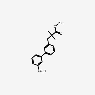 CC(C)(C)OC(=O)C(C)(C)Cc1cccc(-c2cccc(C(=O)O)c2)c1